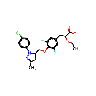 CCOC(Cc1cc(F)c(OCC2CC(C)=NN2c2ccc(Cl)cc2)c(F)c1)C(=O)O